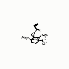 C=CC(=O)OC1C(O[SH](=O)=O)C2(CO)CCC1(COC(C)=O)O2